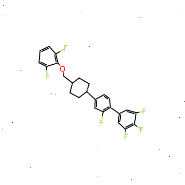 Fc1cc(C2CCC(COc3c(F)cccc3F)CC2)ccc1-c1cc(F)c(F)c(F)c1